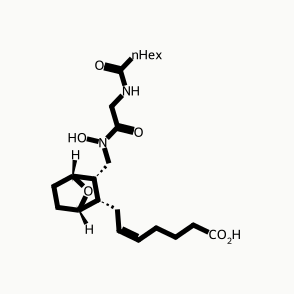 CCCCCCC(=O)NCC(=O)N(O)C[C@@H]1[C@H](C/C=C\CCCC(=O)O)[C@@H]2CC[C@H]1O2